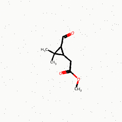 COC(=O)CC1C(C=O)C1(C)C